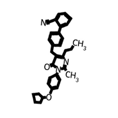 CCCc1nc(C)n(-c2ccc(OC3CCCC3)cc2)c(=O)c1Cc1ccc(-c2ccccc2C#N)cc1